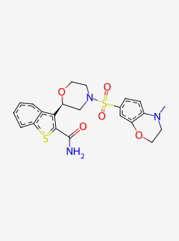 CN1CCOc2cc(S(=O)(=O)N3CCO[C@H](c4c(C(N)=O)sc5ccccc45)C3)ccc21